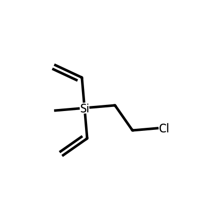 C=C[Si](C)(C=C)CCCl